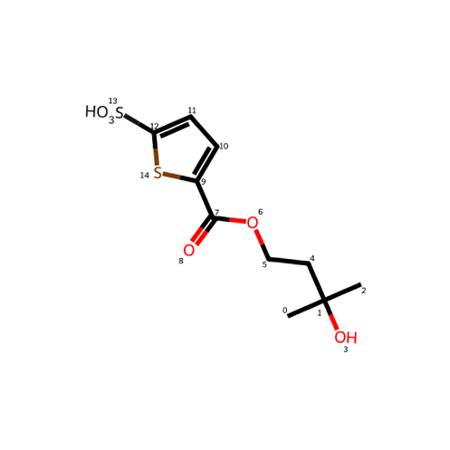 CC(C)(O)CCOC(=O)c1ccc(S(=O)(=O)O)s1